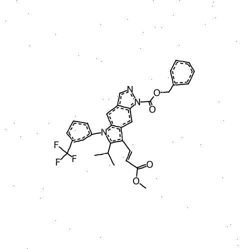 COC(=O)/C=C/c1c(C(C)C)n(-c2cccc(C(F)(F)F)c2)c2cc3cnn(C(=O)OCc4ccccc4)c3cc12